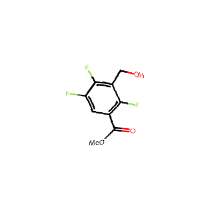 COC(=O)c1cc(F)c(F)c(CO)c1F